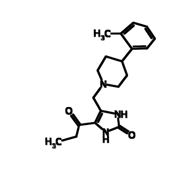 CCC(=O)c1[nH]c(=O)[nH]c1CN1CCC(c2ccccc2C)CC1